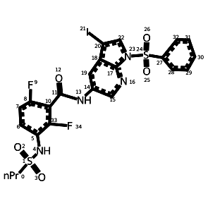 CCCS(=O)(=O)Nc1ccc(F)c(C(=O)Nc2cnc3c(c2)c(I)cn3S(=O)(=O)c2ccccc2)c1F